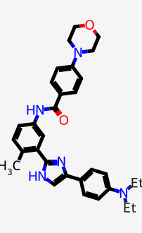 CCN(CC)c1ccc(-c2c[nH]c(-c3cc(NC(=O)c4ccc(N5CCOCC5)cc4)ccc3C)n2)cc1